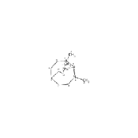 CN1CCC2CCN(C)P1N(C)CC2